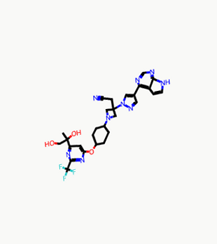 CC(O)(CO)c1cc(OC2CCC(N3CC(CC#N)(n4cc(-c5ncnc6[nH]ccc56)cn4)C3)CC2)nc(C(F)(F)F)n1